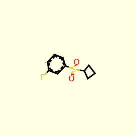 O=S(=O)(c1cc[c]c(F)c1)C1CCC1